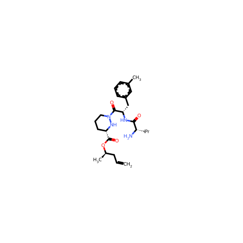 C=CC[C@@H](C)OC(=O)[C@@H]1CCCN(C(=O)[C@H](Cc2cccc(C)c2)NC(=O)[C@@H](N)C(C)C)N1